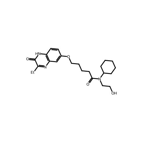 CCc1nc2cc(OCCCCC(=O)N(CCO)C3CCCCC3)ccc2[nH]c1=O